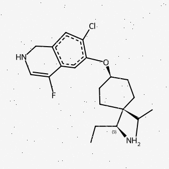 CC[C@H](N)[C@]1(C(C)C)CC[C@@H](Oc2cc3c(cc2Cl)CNC=C3F)CC1